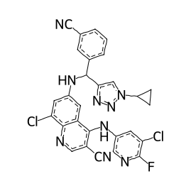 N#Cc1cccc(C(Nc2cc(Cl)c3ncc(C#N)c(Nc4cnc(F)c(Cl)c4)c3c2)c2cn(C3CC3)nn2)c1